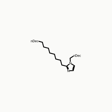 CCCCCCCCCCCCCCCCCCc1nccn1CCCCCCCCCCC